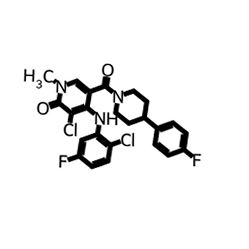 Cn1cc(C(=O)N2CCC(c3ccc(F)cc3)CC2)c(Nc2cc(F)ccc2Cl)c(Cl)c1=O